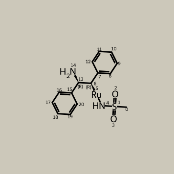 CS(=O)(=O)[NH][Ru][C@H](c1ccccc1)[C@H](N)c1ccccc1